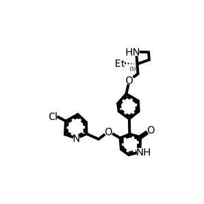 CC[C@@]1(COc2ccc(-c3c(OCc4ccc(Cl)cn4)cc[nH]c3=O)cc2)CCN1